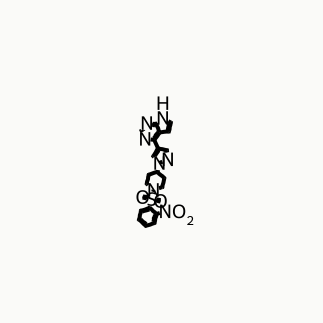 O=[N+]([O-])c1ccccc1S(=O)(=O)N1CCC(n2cc(-c3ncnc4[nH]ccc34)cn2)CC1